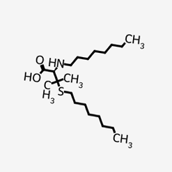 CCCCCCCCN[C@H](C(=O)O)C(C)(C)SCCCCCCCC